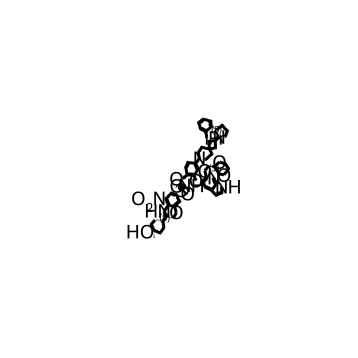 CC(C)c1ccccc1[C@@H]1CCCN1C1CC2(CCN(c3ccc(C(=O)NS(=O)(=O)c4cc5c(c([N+](=O)[O-])c4)N[C@@H]([C@H]4CC[C@](C)(O)CC4)CO5)c(Oc4cc5cc[nH]c5nc4OC[C@@H]4COCCO4)c3)CC2)C1